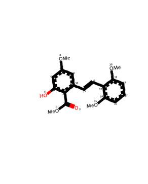 COC(=O)c1c(O)cc(OC)cc1C=Cc1c(OC)cccc1OC